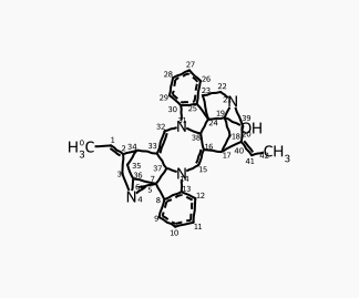 C/C=C1\CN2CCC34c5ccccc5N5/C=C6/C7CC8(O)N(CCC89c8ccccc8N(/C=C(/C1CC23)C54)C69)C/C7=C\C